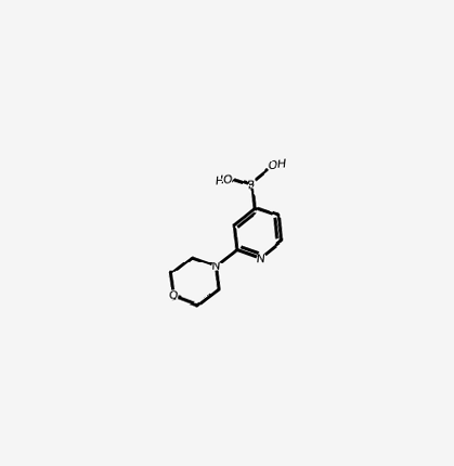 OB(O)c1ccnc(N2CCOCC2)c1